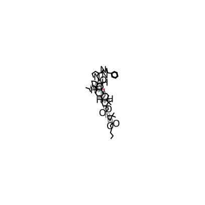 CCCCOC(=O)[C@@H]1C[C@H](C(=O)O[C@H]2CC[C@]3(C)[C@H]4CC[C@@H]5[C@H]6[C@H](C(C)C)CC[C@]6(C(=O)N6CCCC6c6ncc(-c7ccccc7)[nH]6)CC[C@@]5(C)[C@]4(C)CC[C@H]3C2(C)C)C1(C)C